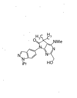 CNc1nc(CO)nc2c1C(C)(C)C(=O)N2c1ccc2c(cnn2C(C)C)c1